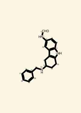 O=CNc1ccc2[nH]c3c(c2c1)CC(NCc1ccccc1)CC3